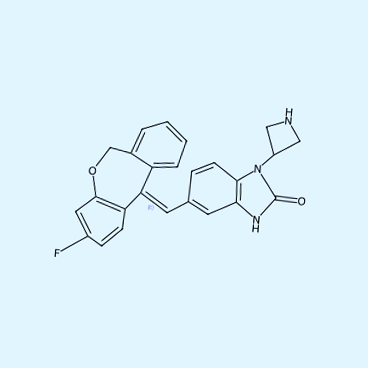 O=c1[nH]c2cc(/C=C3\c4ccccc4COc4cc(F)ccc43)ccc2n1C1CNC1